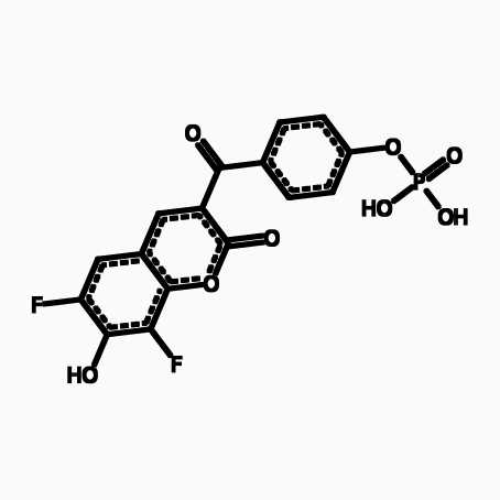 O=C(c1ccc(OP(=O)(O)O)cc1)c1cc2cc(F)c(O)c(F)c2oc1=O